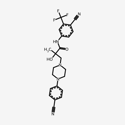 CC(O)(CN1CCN(c2ccc(C#N)cc2)CC1)C(=O)Nc1ccc(C#N)c(C(F)(F)F)c1